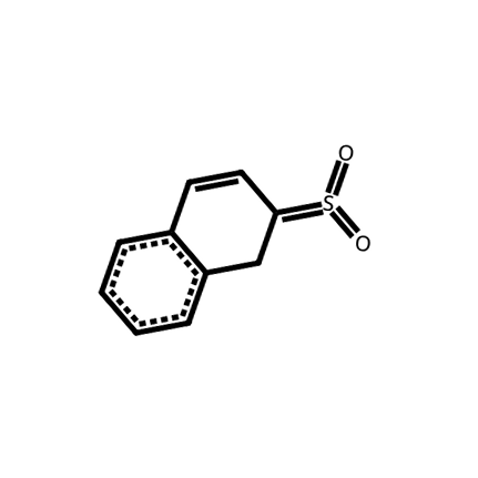 O=S(=O)=C1C=Cc2ccccc2C1